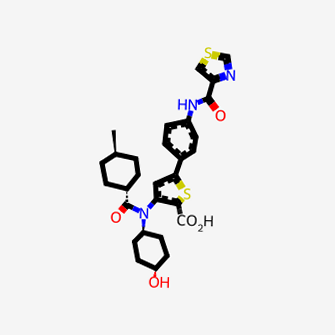 C[C@H]1CC[C@H](C(=O)N(c2cc(-c3ccc(NC(=O)c4cscn4)cc3)sc2C(=O)O)[C@H]2CC[C@H](O)CC2)CC1